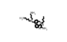 CCCCc1nc2c(N)nc3ccccc3c2n1Cc1ccc(CN(CCCCN)CCCCN)cc1